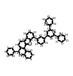 c1ccc(-c2nc3ccccc3c3c2ccc2c4cccc(-c5cccc(-c6cc(-c7ccccn7)nc(-c7ccccn7)c6)c5)c4oc23)cc1